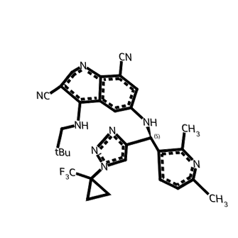 Cc1ccc([C@H](Nc2cc(C#N)c3ncc(C#N)c(NCC(C)(C)C)c3c2)c2cn(C3(C(F)(F)F)CC3)nn2)c(C)n1